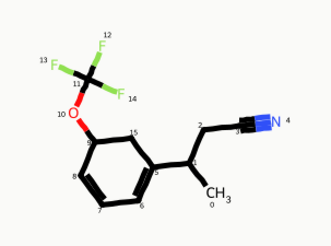 CC(CC#N)C1=CC=CC(OC(F)(F)F)C1